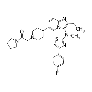 CCc1nc2ccc(C3CCN(CC(=O)N4CCCC4)CC3)cn2c1N(C)c1nc(-c2ccc(F)cc2)cs1